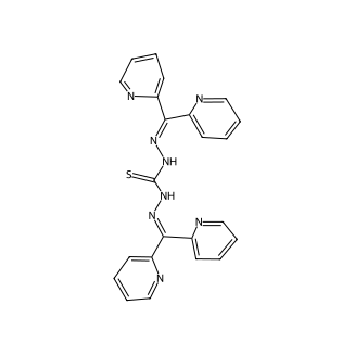 S=C(NN=C(c1ccccn1)c1ccccn1)NN=C(c1ccccn1)c1ccccn1